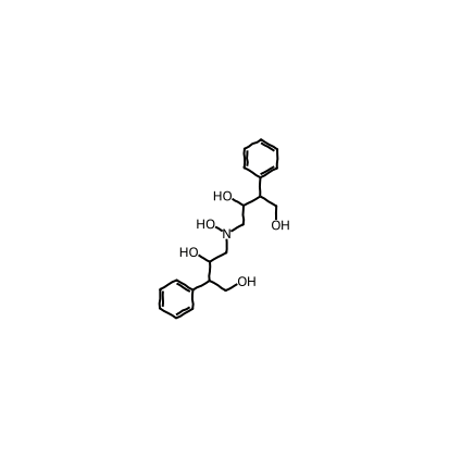 OCC(c1ccccc1)C(O)CN(O)CC(O)C(CO)c1ccccc1